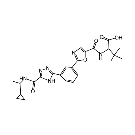 CC(NC(=O)c1nnc(-c2cccc(-c3ncc(C(=O)NC(C(=O)O)C(C)(C)C)o3)c2)[nH]1)C1CC1